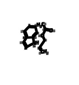 C=CCOC(C)=O.c1ccc2[nH]ccc2c1